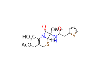 COC1(NC(=O)Cc2cccs2)C(=O)N2C(C(=O)O)=C(COC(C)=O)CS[C@H]21